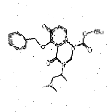 CC(CN(C)C)N1CN(C(=O)OC(C)(C)C)n2ccc(=O)c(OCc3ccccc3)c2C1=O